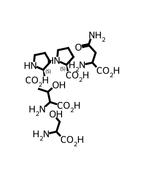 CC(O)C(N)C(=O)O.NC(=O)CC(N)C(=O)O.NC(CO)C(=O)O.O=C(O)[C@@H]1CCCN1.O=C(O)[C@@H]1CCCN1